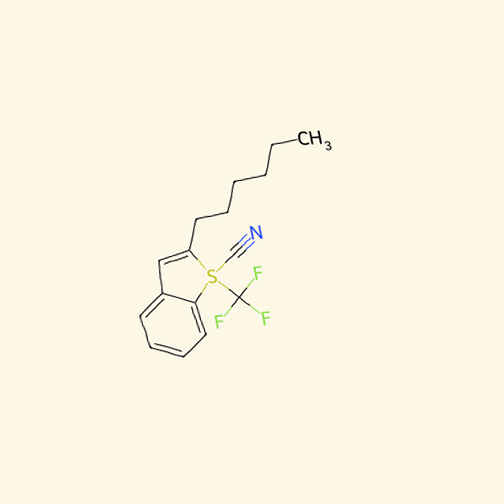 CCCCCCC1=Cc2ccccc2S1(C#N)C(F)(F)F